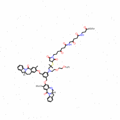 CCCOCCOCCN(CC(C)(C)SC1CC(=O)N(CCCC(=O)CCC(=O)NCC(=O)CCC(=O)NCCC(=O)NC)C1=O)c1cc(COc2cc3c(cc2C)C(=O)N2c4ccccc4C[C@H]2CC3)cc(COc2cc3c(cc2OC)C(=O)N2c4ccccc4C[C@H]2C=N3)c1